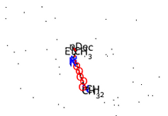 C=CN(C)C(=O)CCOCCOCCOCCOCc1cn(CCCCC(C)(CC)CCCCCCCCCCCC)nn1